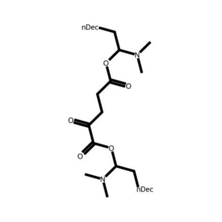 CCCCCCCCCCCC(OC(=O)CCC(=O)C(=O)OC(CCCCCCCCCCC)N(C)C)N(C)C